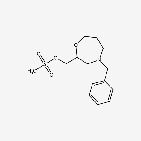 CS(=O)(=O)OCC1CN(Cc2ccccc2)CCCO1